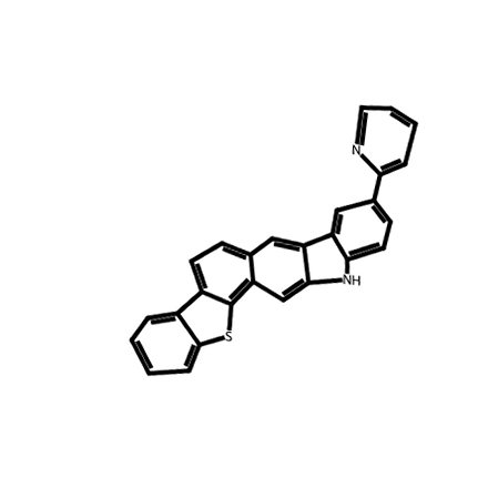 c1ccc(-c2ccc3[nH]c4cc5c(ccc6c7ccccc7sc56)cc4c3c2)nc1